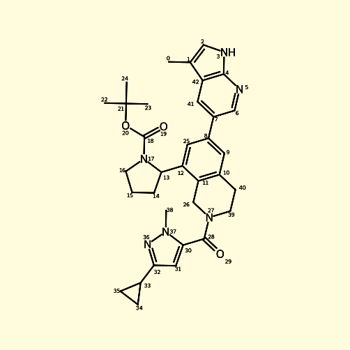 Cc1c[nH]c2ncc(-c3cc4c(c(C5CCCN5C(=O)OC(C)(C)C)c3)CN(C(=O)c3cc(C5CC5)nn3C)CC4)cc12